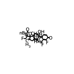 CCCCC(=O)O[C@@]1(C(=O)CF)[C@H](C)C[C@H]2[C@@H]3C[C@H](F)C4=C(F)C(=O)C=C[C@]4(C)[C@H]3[C@@H](O)C[C@@]21C